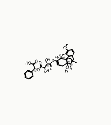 COc1ccc2c3c1O[C@H]1C(OC(=O)[C@H](O)[C@@H](O)C(=O)O[C@H](C(=O)O)c4ccccc4)=CC[C@@]4(O)[C@@H](C2)C(C)CCC314